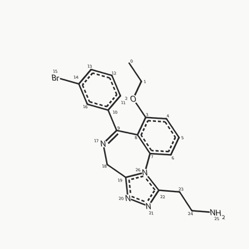 CCOc1cccc2c1C(c1cccc(Br)c1)=NCc1nnc(CCN)n1-2